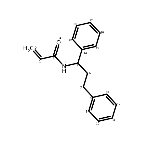 C=CC(=O)NC(CCc1ccccc1)c1ccccc1